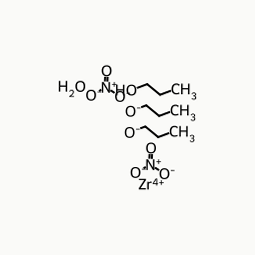 CCCO.CCC[O-].CCC[O-].O.O=[N+]([O-])[O-].O=[N+]([O-])[O-].[Zr+4]